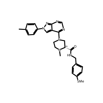 CSc1ccc(CNC(=O)[C@H]2CN(c3ncnc4nn(-c5ccc(C)cc5)cc34)CCN2C)cc1